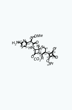 CO/N=C(\C(=O)NC1C(=O)N2C(C(=O)O)=C(c3c(OC(C)C)c(=O)c3=O)CS[C@@H]12)c1csc(N)n1